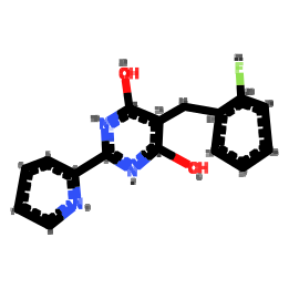 Oc1nc(-c2ccccn2)nc(O)c1Cc1ccccc1F